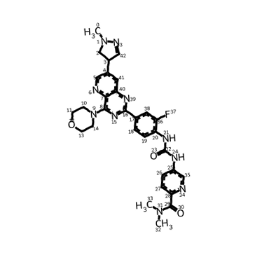 CN1CC(c2cnc3c(N4CCOCC4)nc(-c4ccc(NC(=O)Nc5ccc(C(=O)N(C)C)nc5)c(F)c4)nc3c2)C=N1